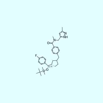 Cc1cc(CN(C)C(=O)c2ccc(CC3CC[C@H]([C@H](O[Si](C)(C)C(C)(C)C)c4ccc(F)cc4)C3)cc2)[nH]n1